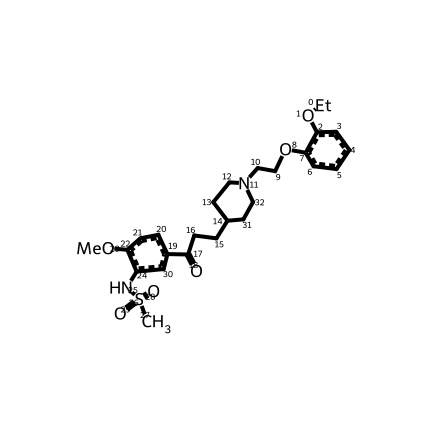 CCOc1ccccc1OCCN1CCC(CCC(=O)c2ccc(OC)c(NS(C)(=O)=O)c2)CC1